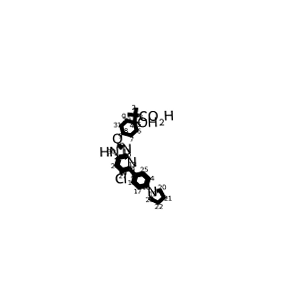 CC(C)(C(=O)O)[C@]1(O)CC[C@@H](Oc2nc3nc(-c4ccc(N5CCCC5)cc4)c(Cl)cc3[nH]2)CC1